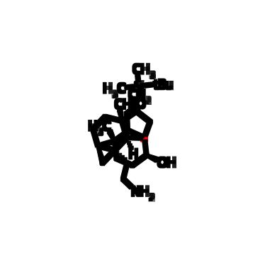 C=C1CC[C@H]2[C@@]3(CCN)C[C@]3([C@@]3(C)CC[C@H](O)C[C@@H]3CO[Si](C)(C)C(C)(C)C)CC[C@]12C